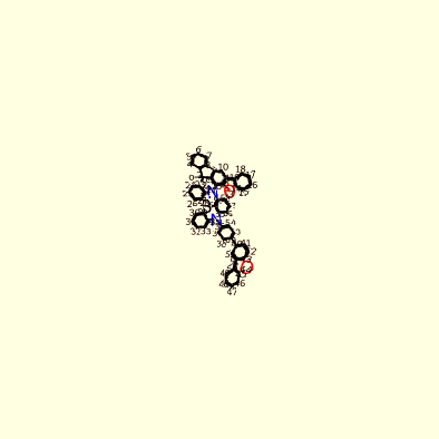 CC1(C)c2ccccc2-c2cc3c(oc4ccccc43)c(N3c4ccccc4B4c5ccccc5N(c5ccc(-c6ccc7oc8ccccc8c7c6)cc5)c5cccc3c54)c21